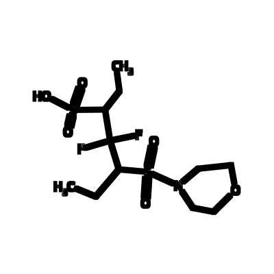 CCC(C(F)(F)C(CC)S(=O)(=O)N1CCOCC1)S(=O)(=O)O